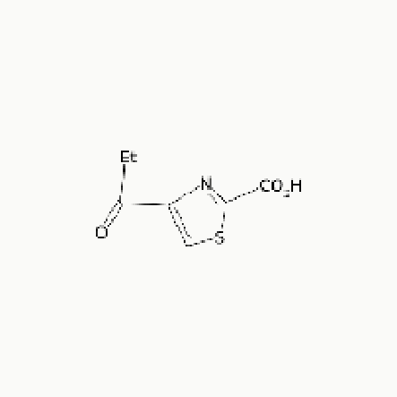 CCC(=O)c1csc(C(=O)O)n1